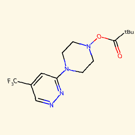 CC(C)(C)C(=O)ON1CCN(c2cc(C(F)(F)F)cnn2)CC1